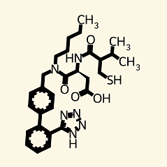 CCCCCN(Cc1ccc(-c2ccccc2-c2nnn[nH]2)cc1)C(=O)[C@H](CC(=O)O)NC(=O)C(CS)C(C)C